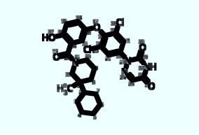 CC1(C2CCCCC2)CCCN(C(=O)c2cc(Oc3c(Cl)cc(-n4ncc(=O)[nH]c4=O)cc3Cl)ccc2O)C1